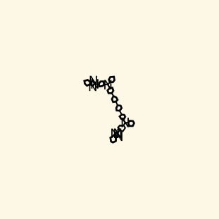 C1=C(N(c2ccccc2)c2ccc(-c3ccc(-c4ccc(-c5ccc(N(c6ccccc6)c6ccc(-n7nc8ccccc8n7)cc6)cc5)cc4)cc3)cc2)CCC(n2nc3ccccc3n2)=C1